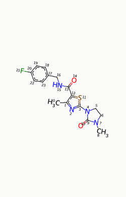 Cc1nc(N2CCN(C)C2=O)sc1C(=O)NCc1ccc(F)cc1